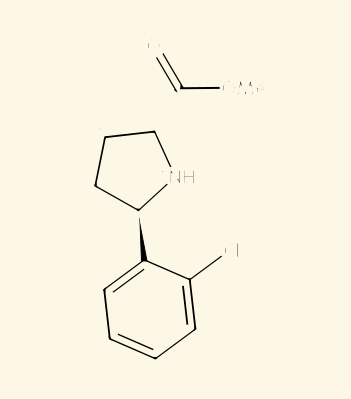 COC(=O)[C@H]1CC[C@H](c2ccccc2Cl)N1